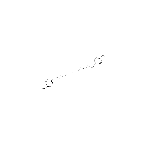 C=Cc1ccc(CNCCCCCCCCNCc2ccc(C=C)cc2)cc1